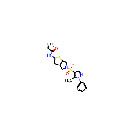 C=CC(=O)NC1CC2CN(S(=O)(=O)c3cnn(-c4ccccc4)c3C)CC2S1